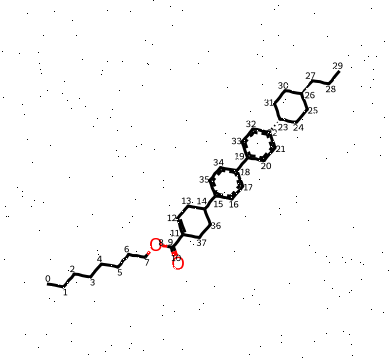 CCCCCCCCOC(=O)C1=CCC(c2ccc(-c3ccc([C@H]4CC[C@H](CCC)CC4)cc3)cc2)CC1